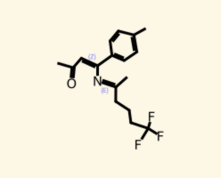 CC(=O)/C=C(\N=C(/C)CCCC(F)(F)F)c1ccc(C)cc1